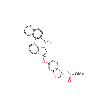 COC(=O)C[C@@H]1COc2cc(O[C@@H]3CCc4c(-c5c(C)ccc6ccccc56)cccc43)ccc21